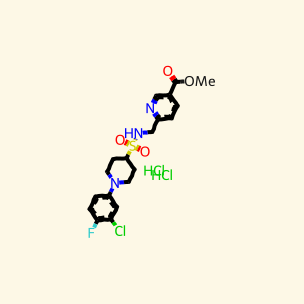 COC(=O)c1ccc(CNS(=O)(=O)C2CCN(c3ccc(F)c(Cl)c3)CC2)nc1.Cl.Cl